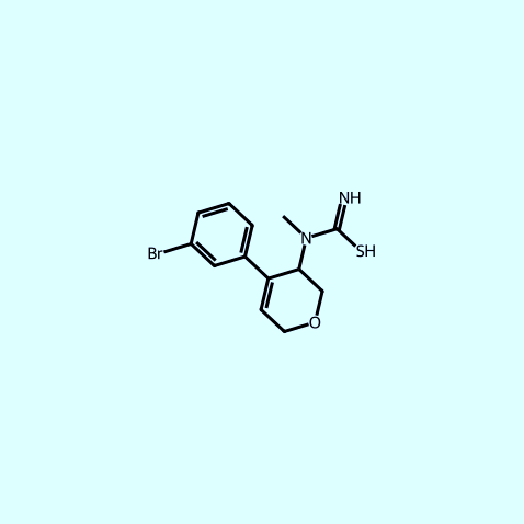 CN(C(=N)S)C1COCC=C1c1cccc(Br)c1